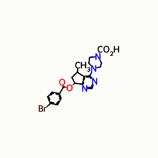 CC1CC(OC(=O)c2ccc(Br)cc2)c2ncnc(N3CCN(C(=O)O)CC3)c21